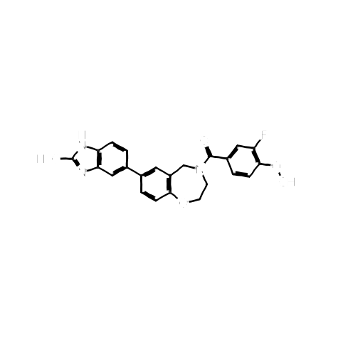 COc1ccc(C(=O)N2CCOc3ccc(-c4ccc5[nH]c(C)nc5c4)cc3C2)cc1F